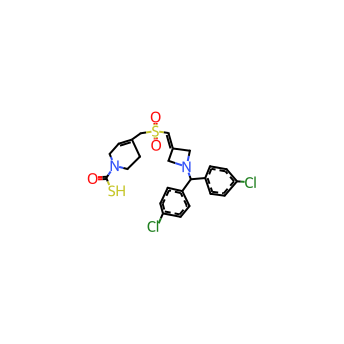 O=C(S)N1CC=C(CS(=O)(=O)C=C2CN(C(c3ccc(Cl)cc3)c3ccc(Cl)cc3)C2)CC1